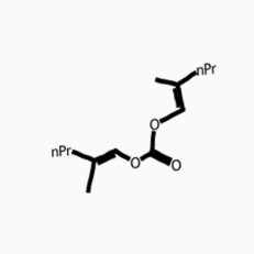 CCCC(C)=COC(=O)OC=C(C)CCC